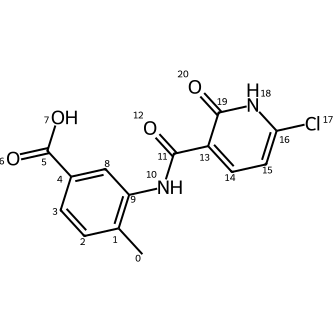 Cc1ccc(C(=O)O)cc1NC(=O)c1ccc(Cl)[nH]c1=O